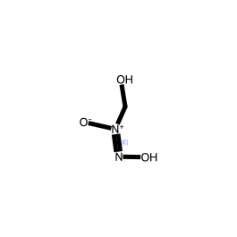 [O-]/[N+](CO)=N/O